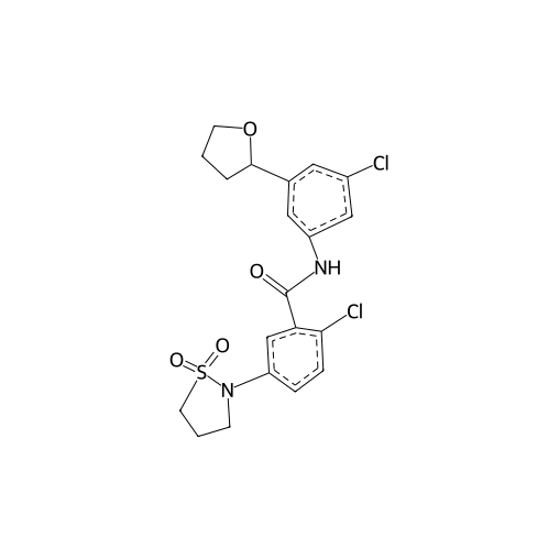 O=C(Nc1cc(Cl)cc(C2CCCO2)c1)c1cc(N2CCCS2(=O)=O)ccc1Cl